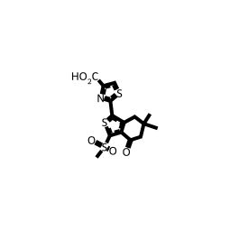 CC1(C)CC(=O)c2c(S(C)(=O)=O)sc(-c3nc(C(=O)O)cs3)c2C1